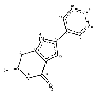 CC1Cc2[nH]c(-c3ccncc3)cc2C(=O)N1